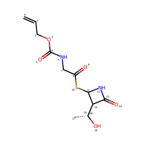 C=CCOC(=O)NCC(=O)SC1NC(=O)C1[C@@H](C)O